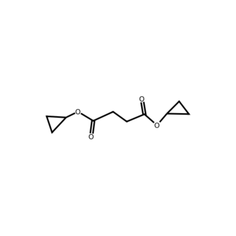 O=C(CCC(=O)OC1CC1)OC1CC1